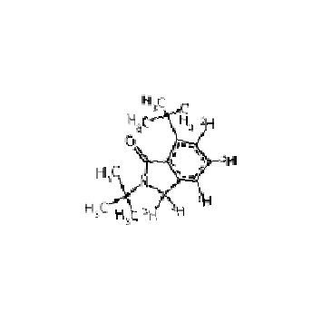 [2H]c1c([2H])c(C(C)(C)C)c2c(c1[2H])C([2H])([2H])N(C(C)(C)C)C2=O